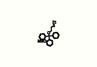 [CH2]CSCCOC(c1ccccc1)(c1ccccc1)c1ccccc1OC